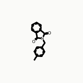 Cc1ccc(CN2C(=O)c3ccccc3C2=O)cc1